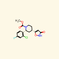 COC(=O)N1CC[C@H](c2cc(=O)[nH]o2)C[C@@H]1c1ccc(F)cc1Cl